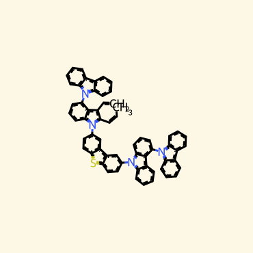 C=Cc1c(/C=C\C)n(-c2ccc3sc4ccc(-n5c6ccccc6c6c(-n7c8ccccc8c8ccccc87)cccc65)cc4c3c2)c2cccc(-n3c4ccccc4c4ccccc43)c12